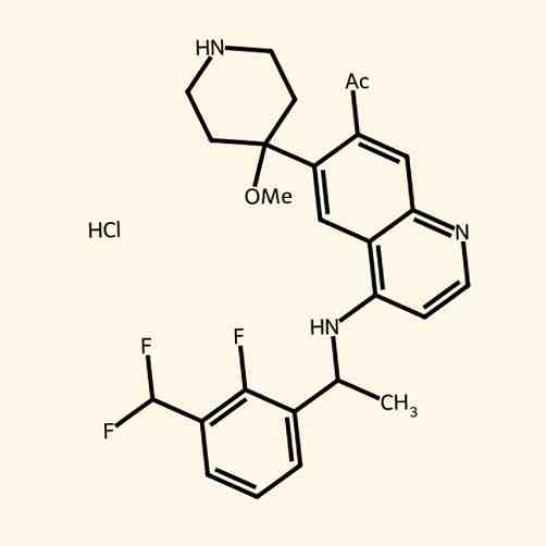 COC1(c2cc3c(NC(C)c4cccc(C(F)F)c4F)ccnc3cc2C(C)=O)CCNCC1.Cl